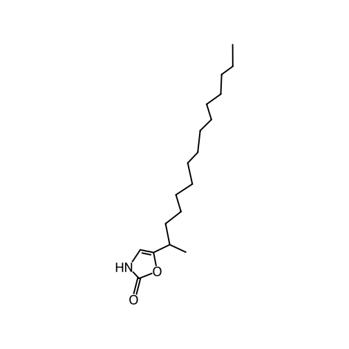 CCCCCCCCCCCCCC(C)c1c[nH]c(=O)o1